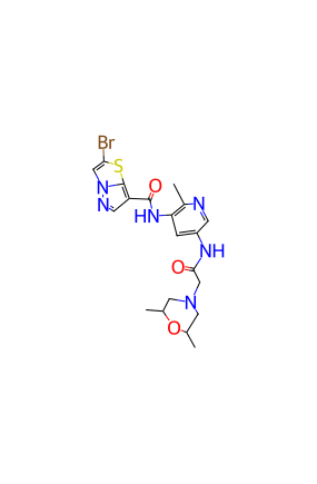 Cc1ncc(NC(=O)CN2CC(C)OC(C)C2)cc1NC(=O)c1cnn2cc(Br)sc12